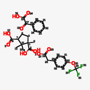 CC1(C(=O)O)CCC(C(=O)O)C1(C)C.O=C(O)C(=O)c1ccccc1.O=C(O)Cc1ccc(OC(F)(F)F)cc1